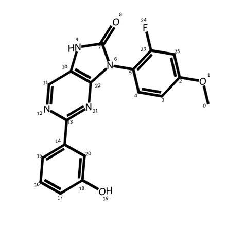 COc1ccc(-n2c(=O)[nH]c3cnc(-c4cccc(O)c4)nc32)c(F)c1